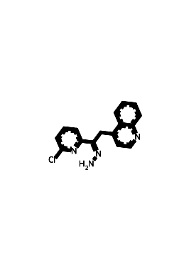 NN=C(Cc1ccnc2ccccc12)c1cccc(Cl)n1